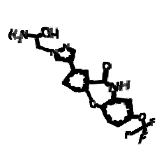 NC(O)Cn1cc(-c2ccc3c(c2)C(=O)Nc2cc(OC(F)(F)F)ccc2O3)cn1